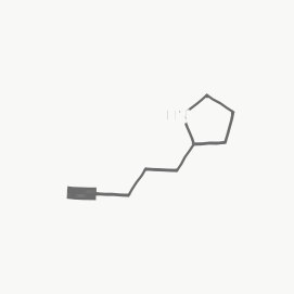 [C]#CCCCC1CCCN1